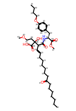 CCCCCCCC(=O)CCCCCCC=CC(C(=O)N[C@@H](Cc1ccc(OCCCC)cc1)C(=O)OC)C(O)(CCOC)C(=O)O